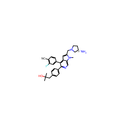 Cn1c(CN2CC[C@H](N)C2)cc2c(-c3ccc(C#N)c(F)c3)c(-c3ccc(CC(C)(C)O)cc3)ncc21